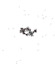 CCn1c(-c2cccnc2[C@H](C)OC)c2c3cc(ccc31)-c1csc(n1)C[C@H](NC(=O)[C@H](C(C)C)N(C)C(=O)N1CC(n3nc(C)cc3C)C1)C(=O)N1CCC[C@@](O)(N1)C(=O)OCC(C)(C)C2